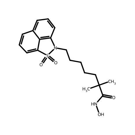 CC(C)(CCCCCN1c2cccc3cccc(c23)S1(=O)=O)C(=O)NO